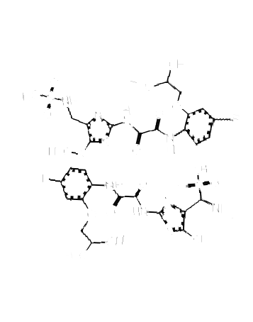 CC(C)COc1cc(F)ccc1NC(=O)C(=O)Nc1nc(C(N)S(C)(=O)=O)c(Cl)s1.CSc1sc(NC(=O)C(=O)Nc2ccc(F)cc2OCC(C)C)nc1CNS(C)(=O)=O